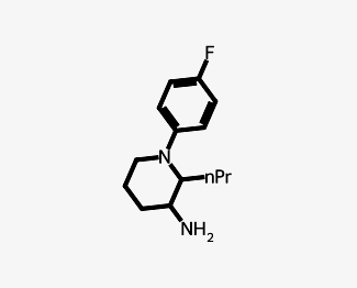 CCCC1C(N)CCCN1c1ccc(F)cc1